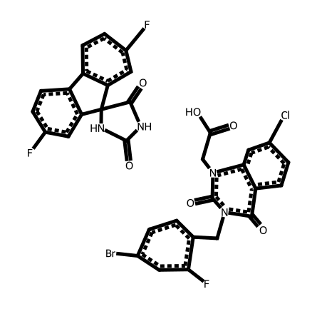 O=C(O)Cn1c(=O)n(Cc2ccc(Br)cc2F)c(=O)c2ccc(Cl)cc21.O=C1NC(=O)C2(N1)c1cc(F)ccc1-c1ccc(F)cc12